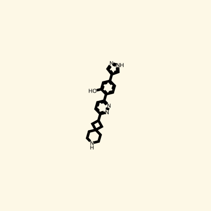 Oc1cc(-c2cn[nH]c2)ccc1-c1ccc(C2CC3(CCNCC3)C2)nn1